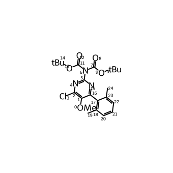 COc1c(Cl)nc(N(C(=O)OC(C)(C)C)C(=O)OC(C)(C)C)nc1-c1c(C)cccc1C